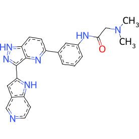 CN(C)CC(=O)Nc1cccc(-c2ccc3[nH]nc(-c4cc5cnccc5[nH]4)c3n2)c1